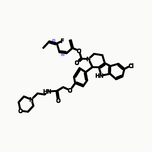 C=C(/C=C\C(F)=C/C)OC(=O)N1CCc2c([nH]c3ccc(Cl)cc23)C1c1ccc(OCC(=O)NCCN2CCOCC2)cc1